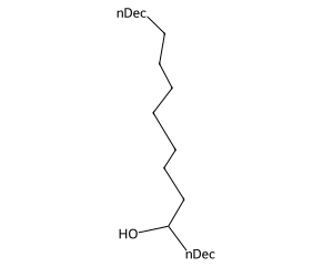 CCCCCCCCCCCCCCCCCC(O)CCCCCCCCCC